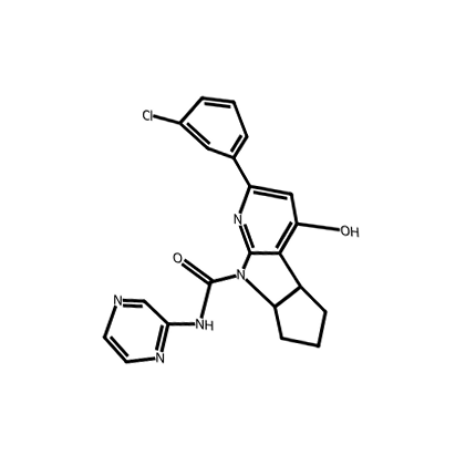 O=C(Nc1cnccn1)N1c2nc(-c3cccc(Cl)c3)cc(O)c2C2CCCC21